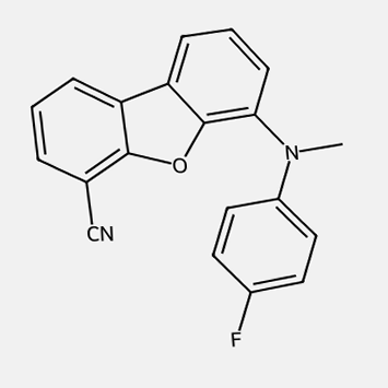 CN(c1ccc(F)cc1)c1cccc2c1oc1c(C#N)cccc12